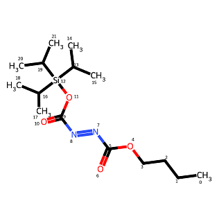 CCCCOC(=O)N=NC(=O)O[Si](C(C)C)(C(C)C)C(C)C